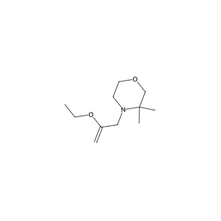 C=C(CN1CCOCC1(C)C)OCC